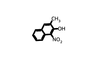 Cc1cc2ccccc2c([N+](=O)[O-])c1O